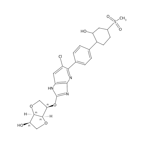 CS(=O)(=O)C1CCC(c2ccc(-c3nc4nc(O[C@@H]5CO[C@H]6[C@@H]5OC[C@H]6O)[nH]c4cc3Cl)cc2)C(O)C1